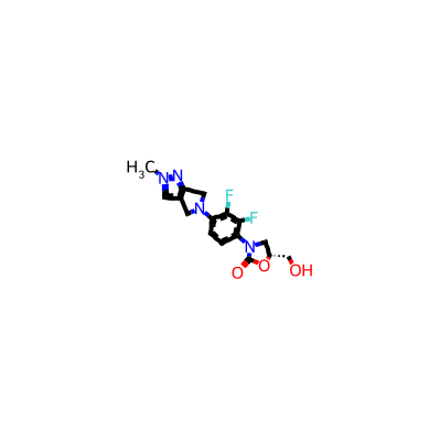 Cn1cc2c(n1)CN(c1ccc(N3C[C@H](CO)OC3=O)c(F)c1F)C2